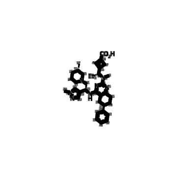 CC[C@@H](N(C)c1nc2c(c(N[C@@H](CN3CCC[C@H](C)C3)c3cnn(C)c3)n1)C[C@H](c1ccccc1)CC2)C12CC(C(=O)O)(C1)C2